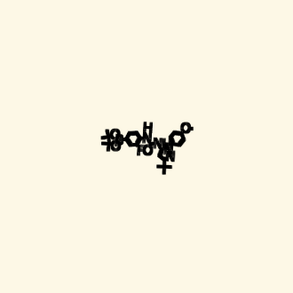 COc1ccc(-n2nc(C(C)(C)C)cc2NC(=O)Nc2ccc(B3OC(C)(C)C(C)(C)O3)cc2F)cc1